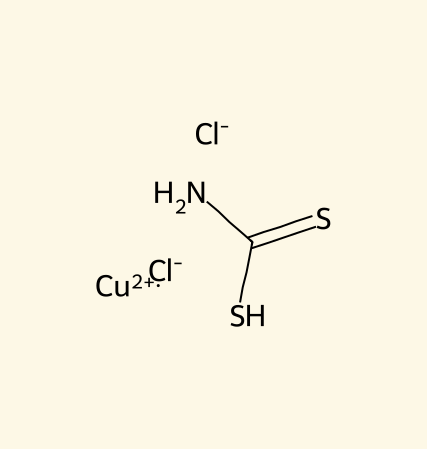 NC(=S)S.[Cl-].[Cl-].[Cu+2]